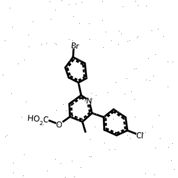 Cc1c(OC(=O)O)cc(-c2ccc(Br)cc2)nc1-c1ccc(Cl)cc1